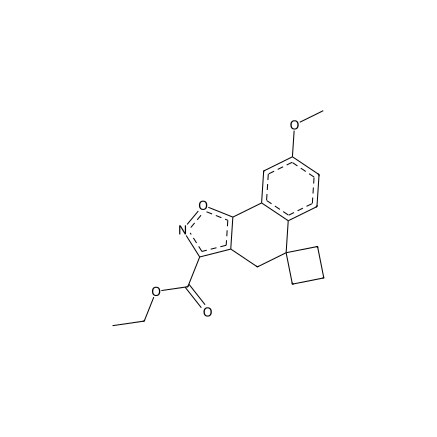 CCOC(=O)c1noc2c1CC1(CCC1)c1ccc(OC)cc1-2